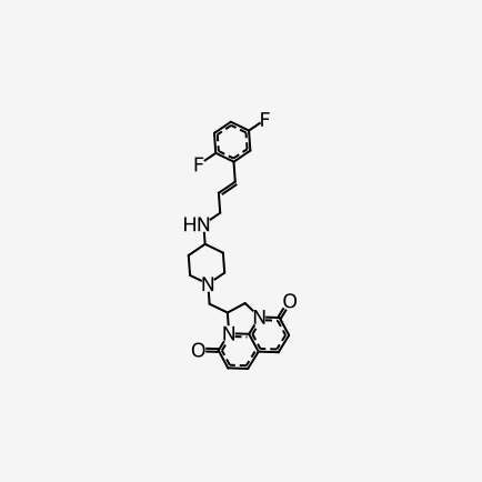 O=c1ccc2ccc(=O)n3c2n1CC3CN1CCC(NC/C=C/c2cc(F)ccc2F)CC1